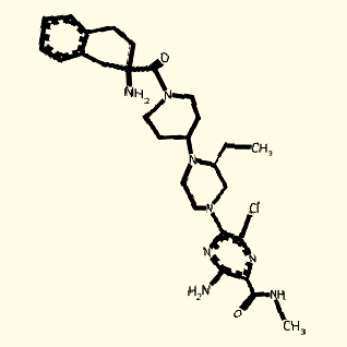 CC[C@H]1CN(c2nc(N)c(C(=O)NC)nc2Cl)CCN1C1CCN(C(=O)C2(N)CCc3ccccc3C2)CC1